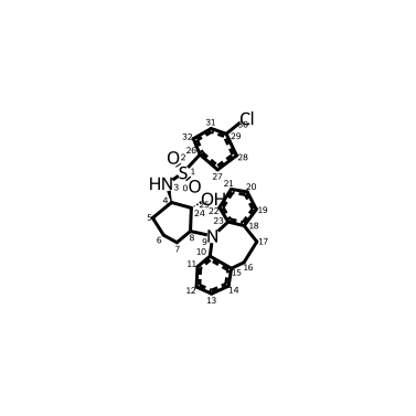 O=S(=O)(N[C@@H]1CCCC(N2c3ccccc3CCc3ccccc32)[C@H]1O)c1ccc(Cl)cc1